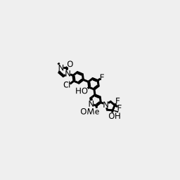 COc1ncc(-c2cc(F)cc(-c3ccc(-n4ccn(C)c4=O)c(Cl)c3)c2O)cc1N1CC(F)(F)[C@](C)(O)C1